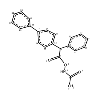 CC(=O)NOC(=O)C(c1ccccc1)c1ccc(-c2ccccc2)cc1